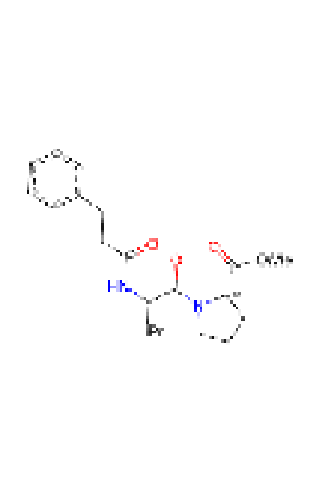 COC(=O)[C@@H]1CCCN1C(=O)C(NC(=O)CCc1ccccc1)C(C)C